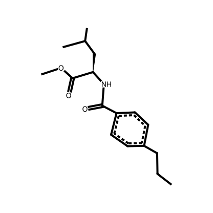 CCCc1ccc(C(=O)N[C@H](CC(C)C)C(=O)OC)cc1